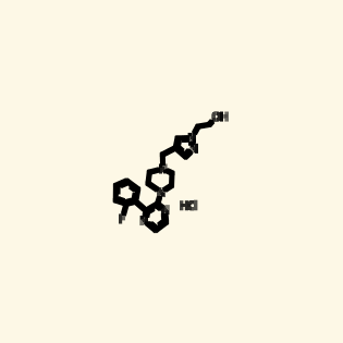 Cl.OCCn1cc(CN2CCN(c3nccnc3-c3ccccc3F)CC2)cn1